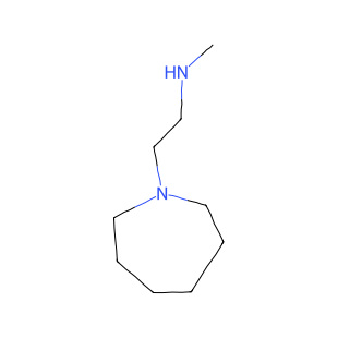 CNCCN1CCCCCC1